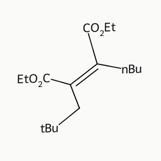 CCCC/C(C(=O)OCC)=C(\CC(C)(C)C)C(=O)OCC